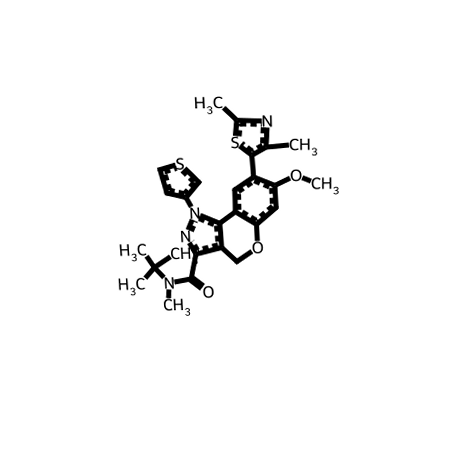 COc1cc2c(cc1-c1sc(C)nc1C)-c1c(c(C(=O)N(C)C(C)(C)C)nn1-c1ccsc1)CO2